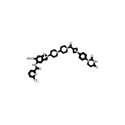 COc1cc2nn(C3CCN(C4CCN(C(=O)C5CN(c6ccc(N7CCC(=O)NC7=O)cc6)C5)CC4)CC3)cc2cc1NC(=O)c1cccc(C(F)(F)F)n1